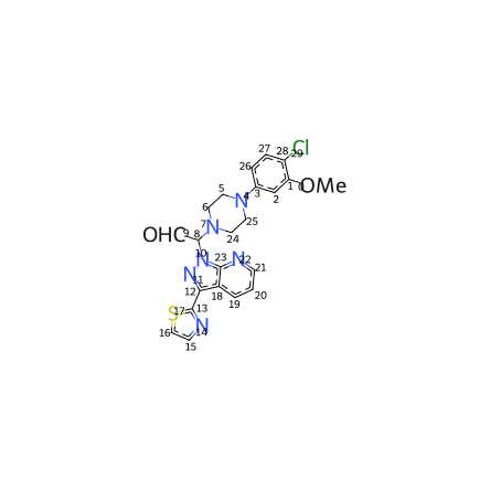 COc1cc(N2CCN(C(C=O)n3nc(-c4nccs4)c4cccnc43)CC2)ccc1Cl